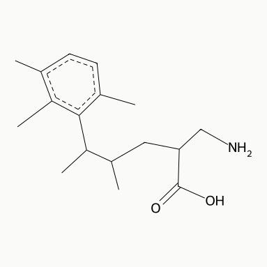 Cc1ccc(C)c(C(C)C(C)CC(CN)C(=O)O)c1C